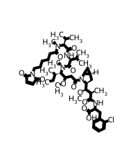 CCC(C)[C@@H](C(CC(=O)N1C2C[C@H]2C[C@H]1[C@H](OC)[C@@H](C)C(=O)NC(Cc1ccccc1Cl)C(=O)O)OC)N(C)C(=O)[C@@H](NC(=O)[C@H](C(C)C)N(C)C(=O)CCCCCN1C(=O)C=CC1=O)C(C)C